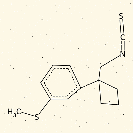 CSc1cccc(C2(CN=C=S)CCC2)c1